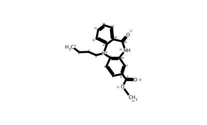 CCCCN1c2ccc(C(=O)OC)cc2NC(=O)c2ccccc21